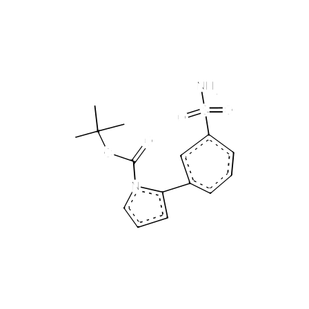 CC(C)(C)OC(=O)n1cccc1-c1cccc(S(N)(=O)=O)c1